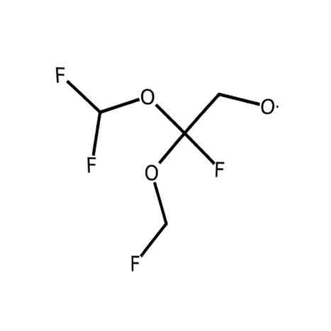 [O]CC(F)(OCF)OC(F)F